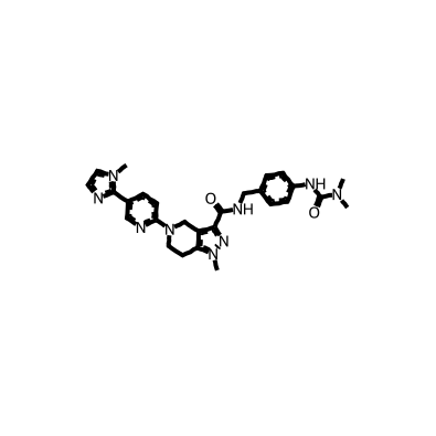 CN(C)C(=O)Nc1ccc(CNC(=O)c2nn(C)c3c2CN(c2ccc(-c4nccn4C)cn2)CC3)cc1